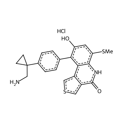 CSc1cc(O)c(-c2ccc(C3(CN)CC3)cc2)c2c1[nH]c(=O)c1cscc12.Cl